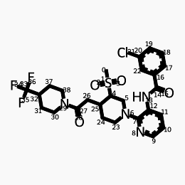 CS(=O)(=O)C1CN(c2ncccc2NC(=O)c2cccc(Cl)c2)CCC1CC(=O)N1CCC(C(F)(F)F)CC1